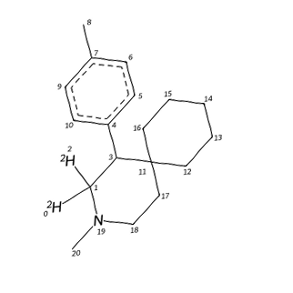 [2H]C1([2H])C(c2ccc(C)cc2)C2(CCCCC2)CCN1C